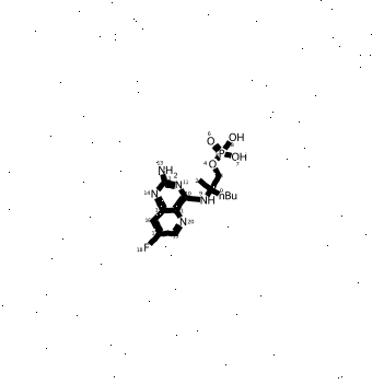 CCCCC(C)(COP(=O)(O)O)Nc1nc(N)nc2cc(F)cnc12